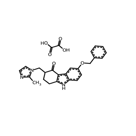 Cc1nccn1CC1CCc2[nH]c3ccc(OCc4ccccc4)cc3c2C1=O.O=C(O)C(=O)O